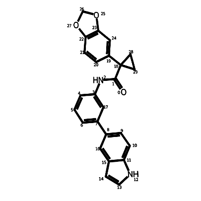 O=C(Nc1cccc(-c2ccc3[nH]ccc3c2)c1)C1(c2ccc3c(c2)OCO3)CC1